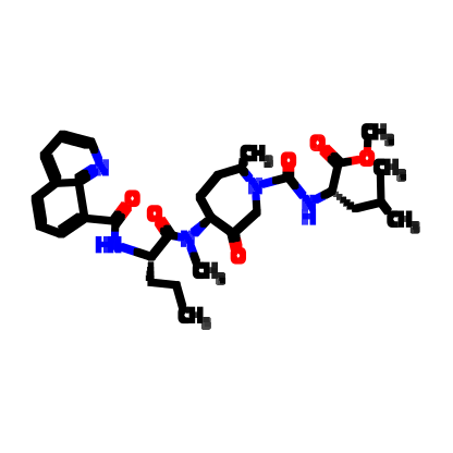 CCC[C@H](NC(=O)c1cccc2cccnc12)C(=O)N(C)[C@H]1CC[C@@H](C)N(C(=O)N[C@@H](CC(C)C)C(=O)OC)CC1=O